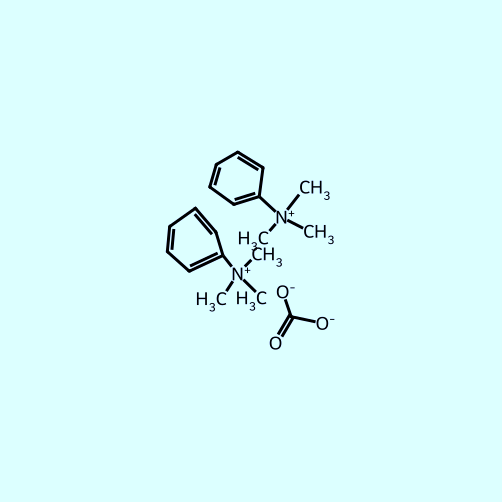 C[N+](C)(C)c1ccccc1.C[N+](C)(C)c1ccccc1.O=C([O-])[O-]